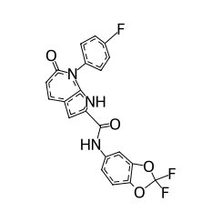 O=C(Nc1ccc2c(c1)OC(F)(F)O2)c1cc2ccc(=O)n(-c3ccc(F)cc3)c2[nH]1